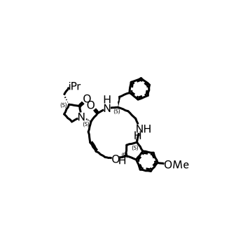 COc1ccc2c(c1)[C@@H]1C[C@H]2OCC=CC[C@H](N2CC[C@H](CC(C)C)C2=O)C(=O)N[C@@H](Cc2ccccc2)CCN1